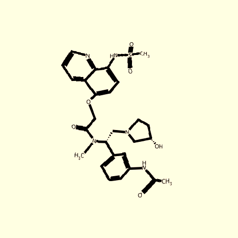 CC(=O)Nc1cccc([C@@H](CN2CC[C@H](O)C2)N(C)C(=O)COc2ccc(NS(C)(=O)=O)c3ncccc23)c1